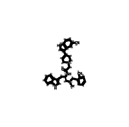 CC(=O)N(Cc1ccccc1C)C[C@@H](Cc1c[nH]c2ccccc12)NC(=O)CN1CC=C(c2c[nH]c3ccc(C#N)cc23)CC1